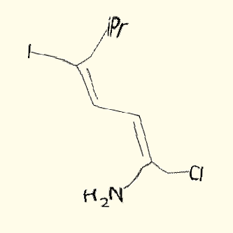 CC(C)/C(I)=C\C=C(/N)Cl